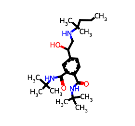 CCCC(C)(C)NCC(O)c1ccc(C(=O)NC(C)(C)C)c(C(=O)NC(C)(C)C)c1